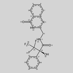 O=C(NCc1nc2ccccc2c(=O)[nH]1)[C@](O)(c1ccccc1)C(F)(F)C(F)(F)F